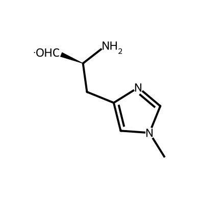 Cn1cnc(C[C@H](N)[C]=O)c1